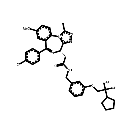 COc1ccc2c(c1)C(c1ccc(Cl)cc1)=N[C@@H](CC(=O)NCc1cccc(OCC(O)(C(=O)O)C3CCCC3)c1)c1nnc(C)n1-2